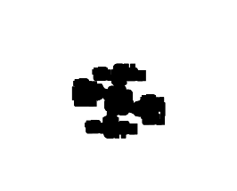 CC(C)(C)c1cc(CCC(=O)OC(OC(=O)CCc2cc(C(C)(C)C)c(O)c(C(C)(C)C)c2)(OC(=O)CCc2cc(C(C)(C)C)c(O)c(C(C)(C)C)c2)OC(=O)CCc2cc(C(C)(C)C)c(O)c(C(C)(C)C)c2)cc(C(C)(C)C)c1O